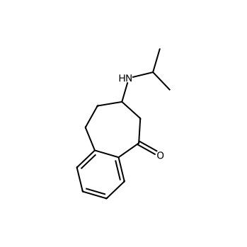 CC(C)NC1CCc2ccccc2C(=O)C1